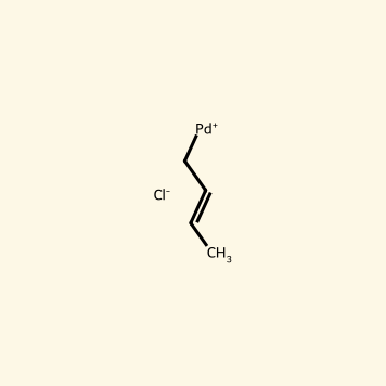 C/C=C/[CH2][Pd+].[Cl-]